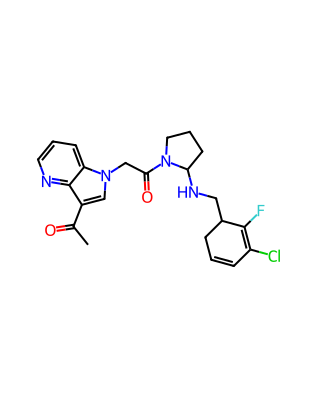 CC(=O)c1cn(CC(=O)N2CCCC2NCC2CC=CC(Cl)=C2F)c2cccnc12